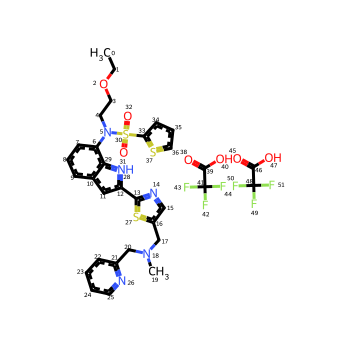 CCOCCN(c1cccc2cc(-c3ncc(CN(C)Cc4ccccn4)s3)[nH]c12)S(=O)(=O)c1cccs1.O=C(O)C(F)(F)F.O=C(O)C(F)(F)F